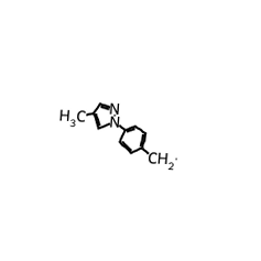 [CH2]c1ccc(-n2cc(C)cn2)cc1